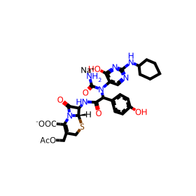 CC(=O)OCC1=C(C(=O)[O-])N2C(=O)C(NC(=O)C(c3ccc(O)cc3)N(C(N)=O)c3cnc(NC4CCCCC4)nc3O)[C@@H]2SC1.[Na+]